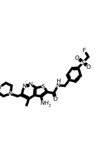 Cc1c(CN2CCOCC2)nnc2sc(C(=O)NCc3ccc(S(=O)(=O)CF)cc3)c(N)c12